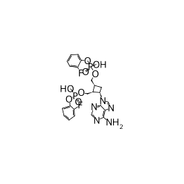 Nc1ncnc2c1ncn2[C@@H]1C[C@H](COP(=O)(O)Oc2ccccc2F)[C@@H]1COP(=O)(O)Oc1ccccc1F